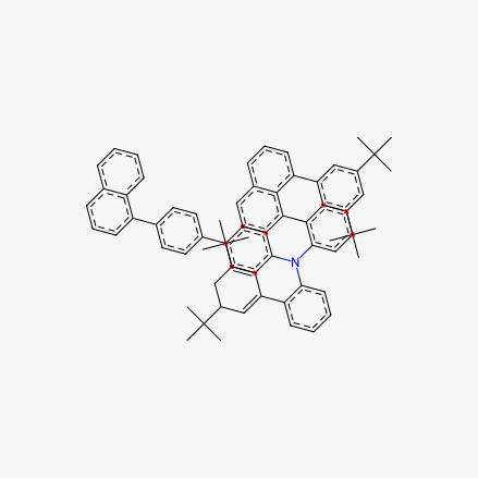 CC(C)(C)C1=CC(c2ccccc2N(c2ccc(-c3ccc(-c4cccc5ccccc45)cc3)cc2)c2ccccc2-c2cccc3cccc(-c4cc(C(C)(C)C)cc(C(C)(C)C)c4)c23)=CC(C(C)(C)C)C1